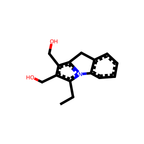 CCc1c(CO)c(CO)c2n1-c1ccccc1C2